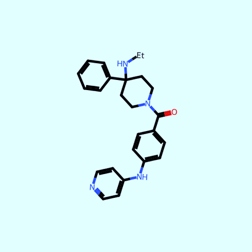 CCNC1(c2ccccc2)CCN(C(=O)c2ccc(Nc3ccncc3)cc2)CC1